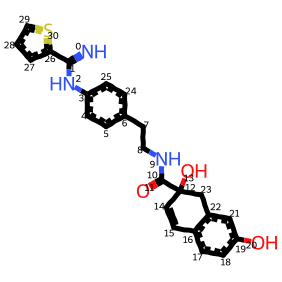 N=C(Nc1ccc(CCNC(=O)C2(O)C=Cc3ccc(O)cc3C2)cc1)c1cccs1